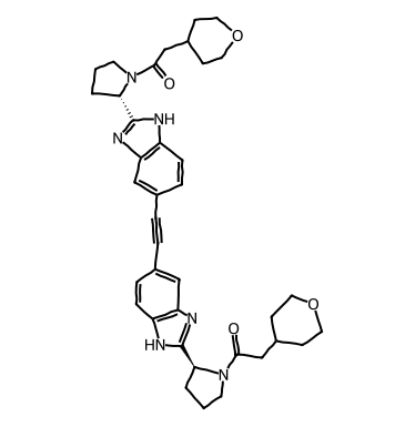 O=C(CC1CCOCC1)N1CCC[C@H]1c1nc2cc(C#Cc3ccc4[nH]c([C@@H]5CCCN5C(=O)CC5CCOCC5)nc4c3)ccc2[nH]1